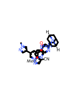 COc1ccc(C(=O)NC23CC4C[C@H](C2)N(c2cnc(-c5cc(-c6cnn(C)c6)cn6ncc(C#N)c56)cn2)[C@@H](C4)C3)cn1